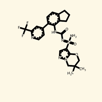 CC1(C)COc2c(S(N)(=O)=NC(=O)Nc3c(-c4ccnc(C(F)(F)F)c4)ccc4c3CCC4)cnn2C1